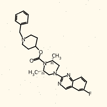 C[C@@H]1CN(c2ncc3cc(F)ccc3n2)C[C@H](C)N1C(=O)OC1CCN(Cc2ccccc2)CC1